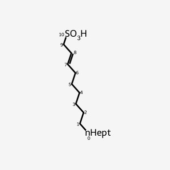 CCCCCCCCCCCCCC=CCS(=O)(=O)O